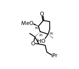 CO[C@H]1C(=O)CC[C@@](C)(O)[C@@H]1C1(C)OC1CCC(C)C